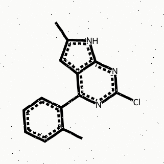 Cc1cc2c(-c3ccccc3C)nc(Cl)nc2[nH]1